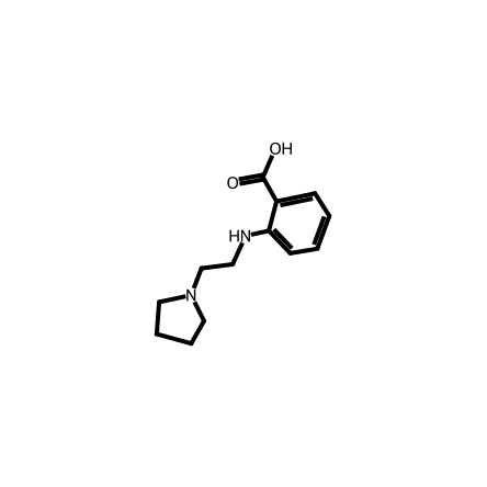 O=C(O)c1ccccc1NCCN1CCCC1